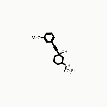 CCOC(=O)NC1CCCC(O)(C#Cc2cccc(OC)c2)C1